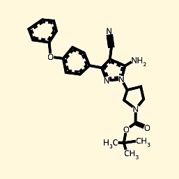 CC(C)(C)OC(=O)N1CCC(n2nc(-c3ccc(Oc4ccccc4)cc3)c(C#N)c2N)C1